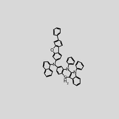 c1ccc(-c2ccc3c(c2)oc2cc(N(c4ccc5c(c4)N(c4ccccc4)c4c(c6ccccc6n4-c4ccccc4)[SiH2]5)c4cccc5ccccc45)ccc23)cc1